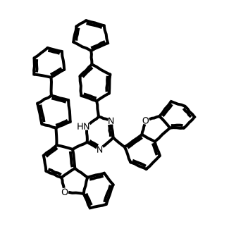 c1ccc(-c2ccc(-c3ccc4oc5ccccc5c4c3C3=NC(c4cccc5c4oc4ccccc45)=NC(c4ccc(-c5ccccc5)cc4)N3)cc2)cc1